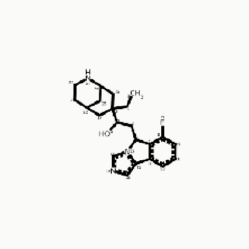 CCC1(C(O)CC2c3c(F)cccc3-c3cncn32)CC2CCNC(C2)C1